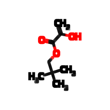 C=C(O)C(=O)OCC(C)(C)C